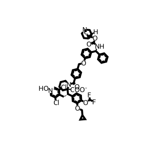 O=C(N[C@@H](c1ccccc1)c1cccc(OCc2ccc(C(=O)N3CCCC[C@@]3(C(=O)[O-])[C@@H](Cc3c(Cl)c[n+](O)cc3Cl)c3ccc(OC(F)F)c(OCC4CC4)c3)cc2)c1)O[C@H]1CN2CCC1CC2